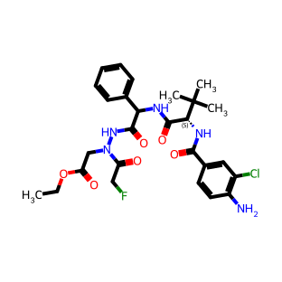 CCOC(=O)CN(NC(=O)C(NC(=O)[C@@H](NC(=O)c1ccc(N)c(Cl)c1)C(C)(C)C)c1ccccc1)C(=O)CF